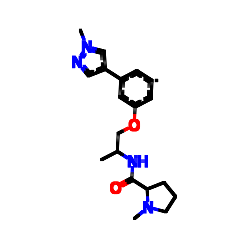 CC(COc1c[c]cc(-c2cnn(C)c2)c1)NC(=O)C1CCCN1C